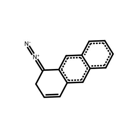 [N-]=[N+]=C1CC=Cc2cc3ccccc3cc21